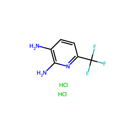 Cl.Cl.Nc1ccc(C(F)(F)F)nc1N